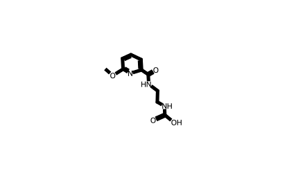 COc1cccc(C(=O)NCCNC(=O)O)n1